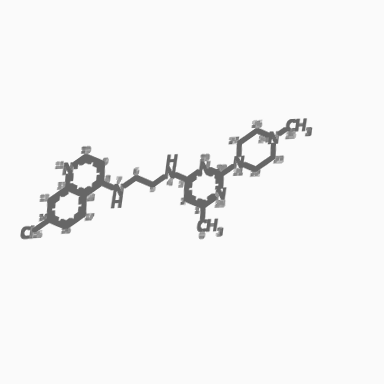 Cc1cc(NCCNc2ccnc3cc(Cl)ccc23)nc(N2CCN(C)CC2)n1